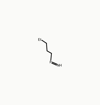 CCCCCP=N